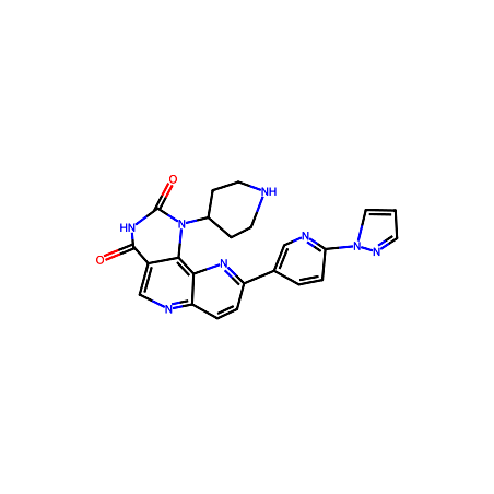 O=c1[nH]c(=O)n(C2CCNCC2)c2c1cnc1ccc(-c3ccc(-n4cccn4)nc3)nc12